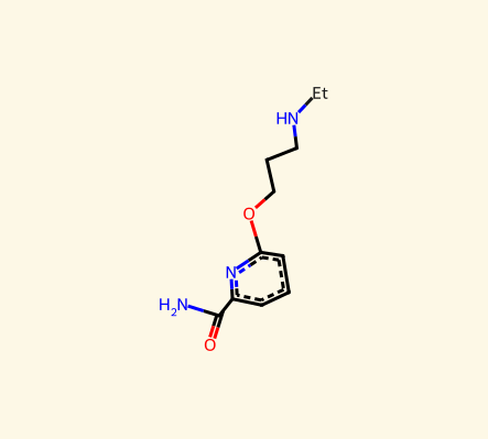 CCNCCCOc1cccc(C(N)=O)n1